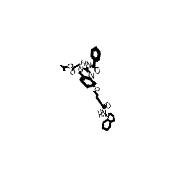 CC(C)OC(=O)CN1Cc2ccc(OCCCC(=O)NN3CCCC4CCCCC43)cc2N=C1NC(=O)c1ccccc1